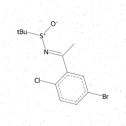 CC(=N[S+]([O-])C(C)(C)C)c1cc(Br)ccc1Cl